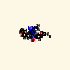 COc1ccc(Cn2c(=O)n(-c3cccc(OC)c3)c3nc(NC4CC4)ncc32)cc1